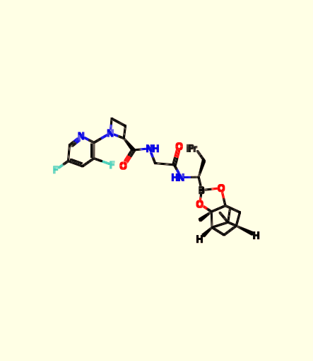 CC(C)C[C@H](NC(=O)CNC(=O)[C@@H]1CCN1c1ncc(F)cc1F)B1OC2C[C@@H]3C[C@@H](C3(C)C)[C@]2(C)O1